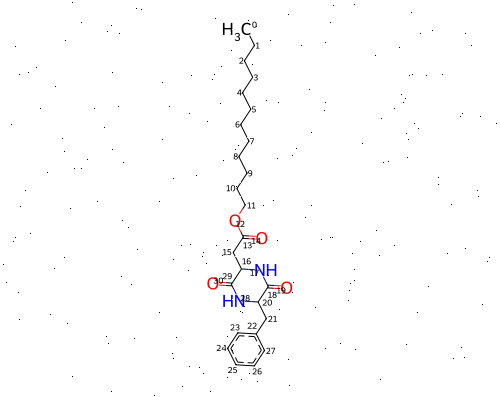 CCCCCCCCCCCCOC(=O)CC1NC(=O)C(Cc2ccccc2)NC1=O